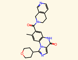 Cc1cc2c(cc1C(=O)N1CCc3ccncc3C1)[nH]c(=O)c1cnc(C3CCOCC3)n12